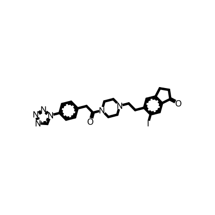 O=C1CCc2cc(CCN3CCN(C(=O)Cc4ccc(-n5cnnn5)cc4)CC3)c(I)cc21